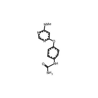 CNc1cc(Oc2ccc(NC(N)=O)cc2)ncn1